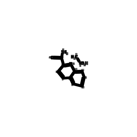 CS(=O)(=O)O.NC(=O)c1ccc2ccccc2n1